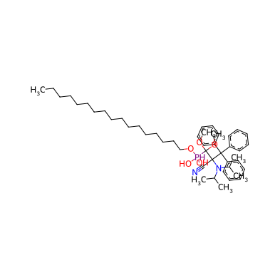 CCCCCCCCCCCCCCCCCO[PH](O)(O)C(OC)(OC)C(C#N)(N(C(C)C)C(C)C)C(c1ccccc1)(c1ccccc1)c1ccccc1